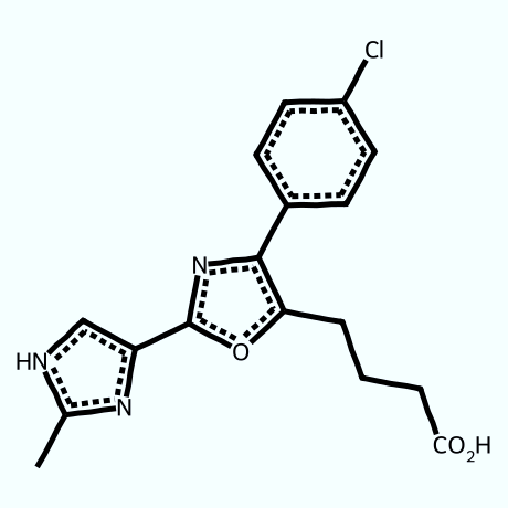 Cc1nc(-c2nc(-c3ccc(Cl)cc3)c(CCCC(=O)O)o2)c[nH]1